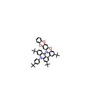 CC(C)(C)c1ccc(N2c3cc(C(C)(C)C)ccc3B3c4c(cc(C(C)(C)C)cc42)-c2cc(C(C)(C)C)cc4oc5cc6oc7ccccc7oc6cc5n3c24)cc1